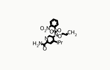 C=CCON(C1CN=C(C(N)=O)C=C1C(C)C)S(=O)(=O)c1ccccc1[N+](=O)[O-]